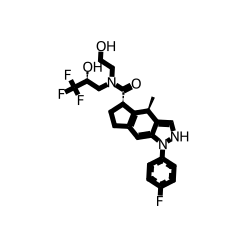 C[C@H]1C2=CNN(c3ccc(F)cc3)C2=CC2=C1[C@@H](C(=O)N(CCO)C[C@@H](O)C(F)(F)F)CC2